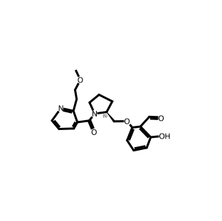 COCCc1ncccc1C(=O)N1CCC[C@H]1COc1cccc(O)c1C=O